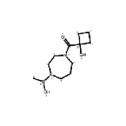 CB(O)N1CCCN(C(=O)C2(O)CCC2)CC1